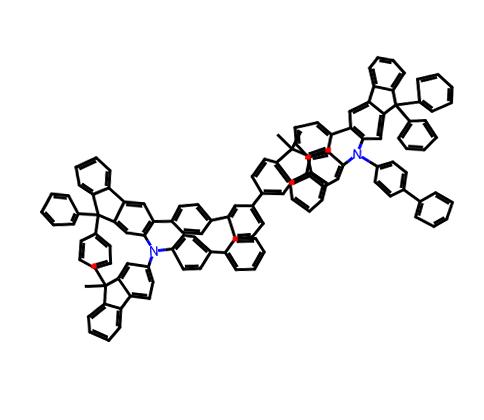 CC1(C)c2ccccc2-c2ccc(N(c3ccc(-c4ccccc4)cc3)c3cc4c(cc3-c3ccc(-c5cccc(-c6ccc7c(c6)-c6ccc(N(c8ccc(-c9ccccc9)cc8)c8cc9c(cc8-c8cccc(-c%10ccccc%10)c8)-c8ccccc8C9(c8ccccc8)c8ccccc8)cc6C7(C)C)c5)cc3)-c3ccccc3C4(c3ccccc3)c3ccccc3)cc21